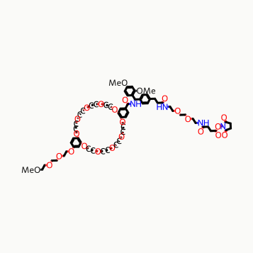 COCCOCCOCCOc1ccc2c(c1)OCCOCCOCCOCCOc1ccc(C(=O)NC(c3ccc(CCC(=O)NCCOCCOCCNC(=O)CCC(=O)ON4C(=O)CCC4=O)cc3)c3ccc(OC)cc3OC)cc1OCCOCCOCCOCCO2